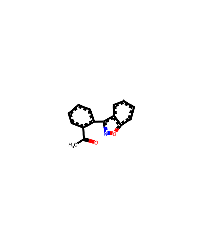 CC(=O)c1ccccc1-c1noc2ccccc12